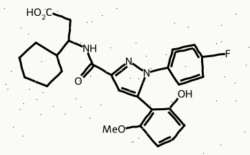 COc1cccc(O)c1-c1cc(C(=O)NC(CC(=O)O)C2CCCCC2)nn1C1=C=C=C(F)C=C1